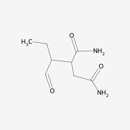 CCC(C=O)C(CC(N)=O)C(N)=O